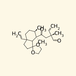 C=CC12CC[C@@H](C)[C@@](C)(C(=O)C[C@](C)(C=C)C=O)C1C1(CC2)OCCO1